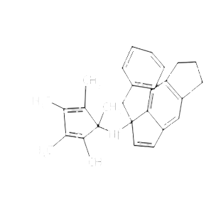 CC1=C(C)[C](C)([Hf][C]2(Cc3ccccc3)C=Cc3cc4c(cc32)CCC4)C(C)=C1C